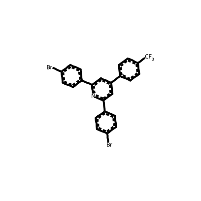 FC(F)(F)c1ccc(-c2cc(-c3ccc(Br)cc3)nc(-c3ccc(Br)cc3)c2)cc1